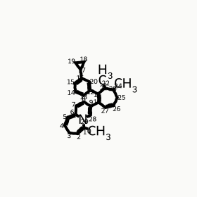 CC1=CCC=C=C2C=CC(C3=C(c4cccc(C5CC5)c4)C(C)C(C)CC=C3)=CN21